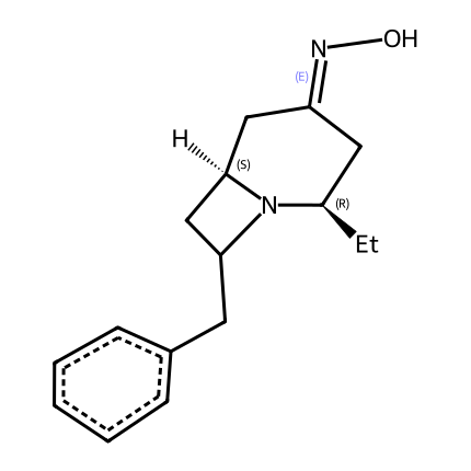 CC[C@@H]1C/C(=N\O)C[C@@H]2CC(Cc3ccccc3)N12